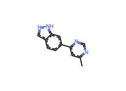 Cc1[c]c(-c2ccc3cn[nH]c3c2)ncn1